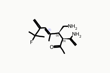 C=C(N)[C@@H](C(C)=O)[C@H](CN)/C(C)=C/C(=C)C(C)(C)F